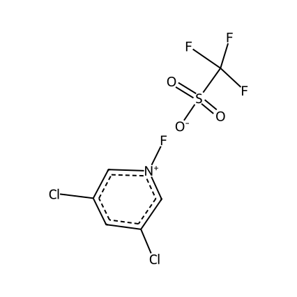 F[n+]1cc(Cl)cc(Cl)c1.O=S(=O)([O-])C(F)(F)F